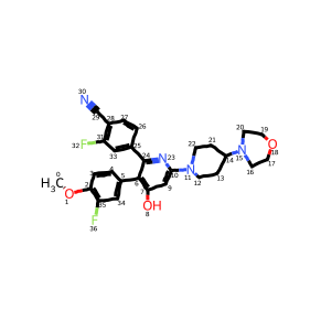 COc1ccc(-c2c(O)cc(N3CCC(N4CCOCC4)CC3)nc2-c2ccc(C#N)c(F)c2)cc1F